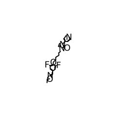 CCO/N=C/c1cc(F)c(OCCCCCN2CCN(c3ccncc3)C2=O)c(F)c1